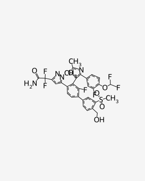 Cc1nc(-c2ccc(OC(F)F)c(F)c2)c(-c2c(-c3cc(C(F)(F)C(N)=O)nn3C)ccc(-c3ccc(CO)c(S(C)(=O)=O)c3)c2F)o1